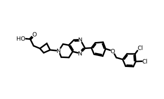 O=C(O)CC1CC(N2CCc3nc(-c4ccc(OCc5ccc(Cl)c(Cl)c5)cc4)ncc3C2)C1